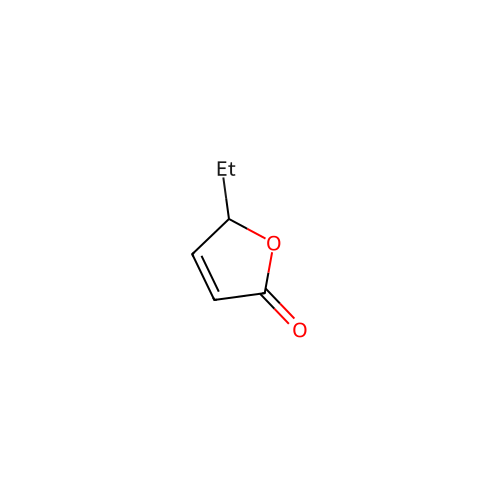 CCC1C=CC(=O)O1